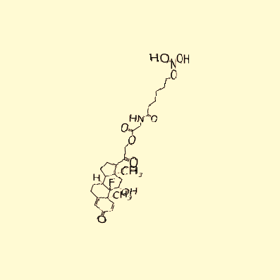 C[C@]12C[C@H](O)C3(F)[C@@H](CCC4=CC(=O)C=C[C@@]43C)C1CCC2C(=O)COC(=O)CNC(=O)CCCCCON(O)O